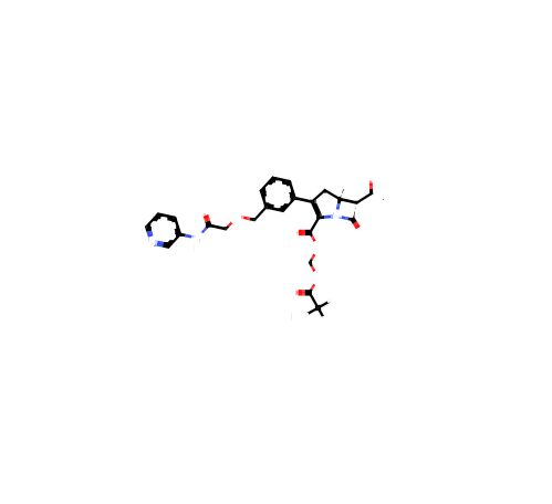 C[C@@H](O)[C@H]1C(=O)N2C(C(=O)OCOC(=O)C(C)(C)C)=C(c3cccc(COCC(=O)Nc4cccnc4)c3)C[C@H]12